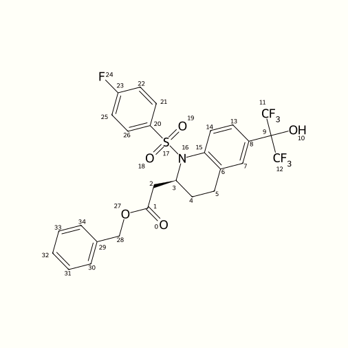 O=C(C[C@@H]1CCc2cc(C(O)(C(F)(F)F)C(F)(F)F)ccc2N1S(=O)(=O)c1ccc(F)cc1)OCc1ccccc1